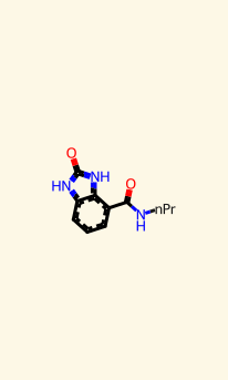 CCCNC(=O)c1cccc2[nH]c(=O)[nH]c12